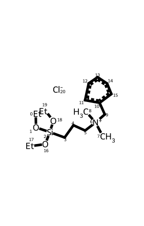 CCO[Si](CCC[N+](C)(C)Cc1ccccc1)(OCC)OCC.[Cl-]